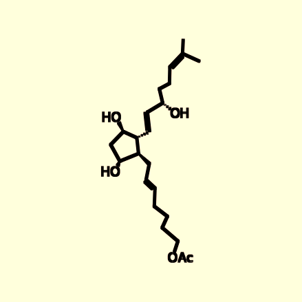 CC(=O)OCCCCC=CC[C@@H]1[C@@H](C=C[C@@H](O)CCC=C(C)C)[C@H](O)C[C@@H]1O